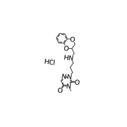 Cl.Cn1c(=O)cnn(CCCNCC2COc3ccccc3O2)c1=O